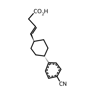 N#Cc1ccc([C@H]2CC[C@H](C=CCC(=O)O)CC2)cc1